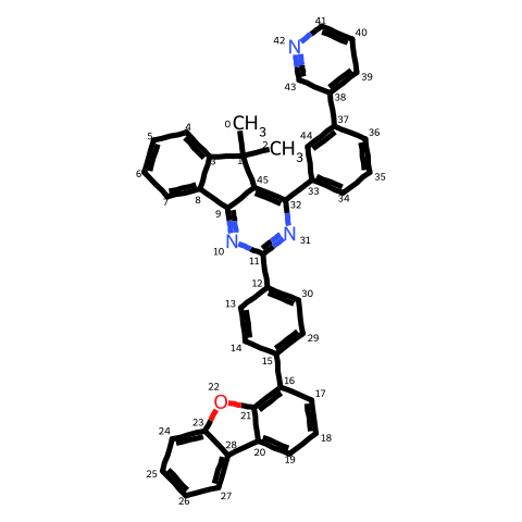 CC1(C)c2ccccc2-c2nc(-c3ccc(-c4cccc5c4oc4ccccc45)cc3)nc(-c3cccc(-c4cccnc4)c3)c21